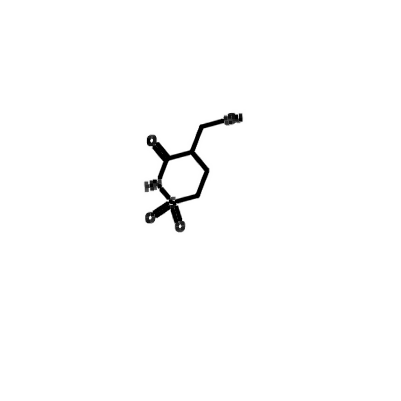 CC(C)(C)CC1CCS(=O)(=O)NC1=O